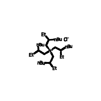 CCCCC(CC)C[N+](CC(CC)CCCC)(CC(CC)CCCC)CC(CC)CCCC.[Cl-]